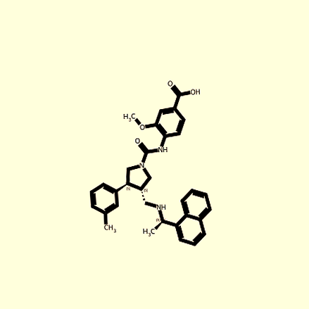 COc1cc(C(=O)O)ccc1NC(=O)N1C[C@H](CN[C@H](C)c2cccc3ccccc23)[C@@H](c2cccc(C)c2)C1